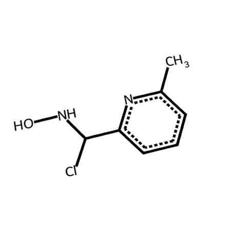 Cc1cccc(C(Cl)NO)n1